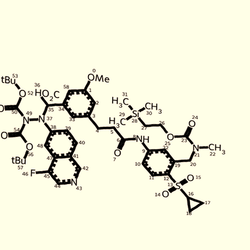 COc1cc(CCC(=O)Nc2ccc(S(=O)(=O)C3CC3)c(CN(C)C(=O)OCC[Si](C)(C)C)c2)cc(C(C(=O)O)N(c2ccc3cncc(F)c3c2)N(C(=O)OC(C)(C)C)C(=O)OC(C)(C)C)c1